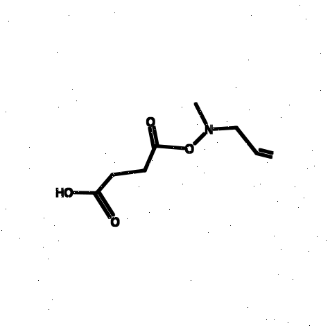 C=CCN(C)OC(=O)CCC(=O)O